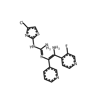 N/C(=C(\N=C(/N)Nc1nc(Cl)cs1)c1cccnc1)c1ccncc1F